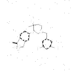 O=C1NCc2cc([C@@H]3CN(Cc4cc(F)cc(C(F)(F)F)c4)CCC3(F)F)ccc21